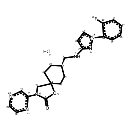 Cl.O=C1O[C@]2(CC[C@H](CNc3ccn(-c4ccccc4F)n3)CC2)CN1c1cnccn1